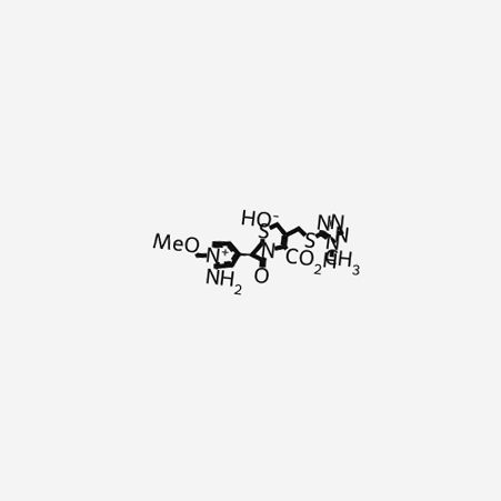 COC[n+]1ccc([C@@H]2C(=O)N3C(C(=O)O)=C(CSc4nnnn4C)CSC23)cc1N.[OH-]